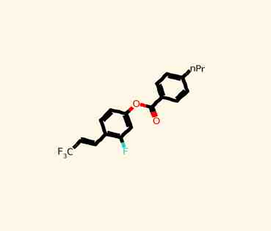 CCCc1ccc(C(=O)Oc2ccc(/C=C/C(F)(F)F)c(F)c2)cc1